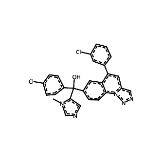 Cn1cncc1C(O)(c1ccc(Cl)cc1)c1ccc2c(c1)c(-c1cccc(Cl)c1)cc1cnnn12